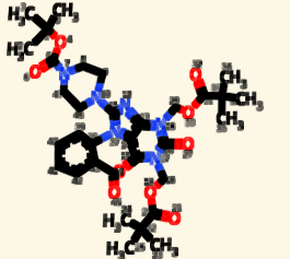 CC(C)(C)OC(=O)N1CCN(c2nc3c(c(=O)n(COC(=O)C(C)(C)C)c(=O)n3COC(=O)C(C)(C)C)n2-c2ccccc2C=O)CC1